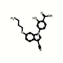 N#Cc1cn(-c2ccc(C(=O)O)c(O)c2)c2cc(OCCCN)ccc12